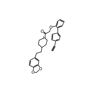 C#Cc1ccc(-c2ccccc2OCC(=O)N2CCC(CCc3ccc4c(c3)OCO4)CC2)cc1